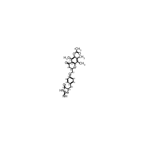 CC(=O)Oc1c(C)c(C)c2c(c1C)C(=O)CC(COc1ccc(CC3SC(=N)NC3=O)cc1)O2